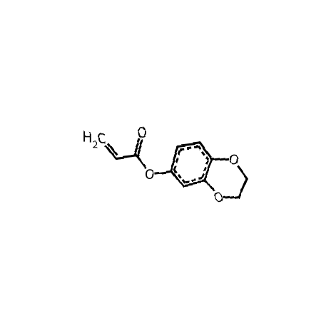 C=CC(=O)Oc1ccc2c(c1)OCCO2